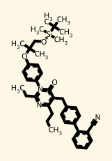 CCCc1nc(CC)n(-c2ccc(OC(C)(C)CO[Si](C)(C)C(C)(C)C)cc2)c(=O)c1Cc1ccc(-c2ccccc2C#N)cc1